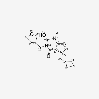 CN1c2ncn(CC3CCC3)c2C(=O)N(CC2CCOC2)C1O